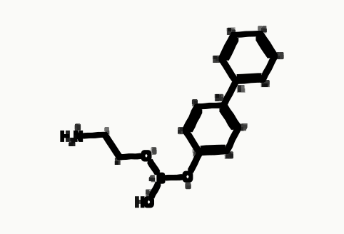 NCCOB(O)Oc1ccc(-c2ccccc2)cc1